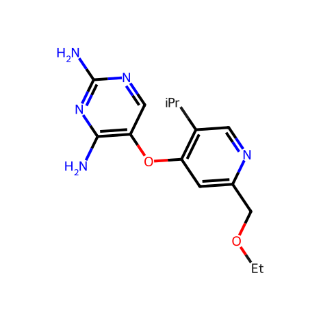 CCOCc1cc(Oc2cnc(N)nc2N)c(C(C)C)cn1